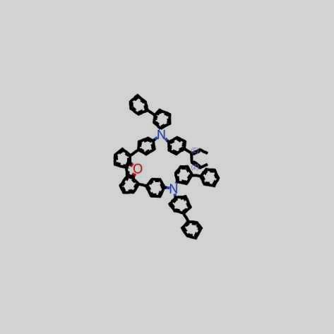 C/C=C\C(=C/C)c1ccc(N(c2ccc(-c3cccc4c3oc3c(-c5ccc(N(c6ccc(-c7ccccc7)cc6)c6cccc(-c7ccccc7)c6)cc5)cccc34)cc2)c2cccc(-c3ccccc3)c2)cc1